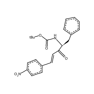 CC(C)(C)OC(=O)N[C@@H](Cc1ccccc1)C(=O)/C=C/c1ccc([N+](=O)[O-])cc1